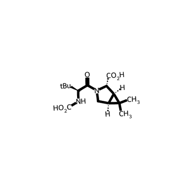 CC(C)(C)[C@H](NC(=O)O)C(=O)N1C[C@H]2[C@@H]([C@H]1C(=O)O)C2(C)C